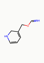 N=COCC1=CC=CNC1